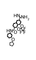 N=C(N)c1ccc2c(OC(=O)C(F)(F)F)c(C(=O)Nc3cccc(OC4CCCC4)c3)ccc2c1